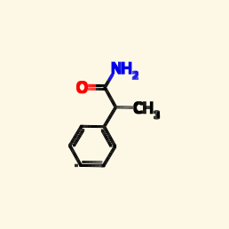 CC(C(N)=O)c1cc[c]cc1